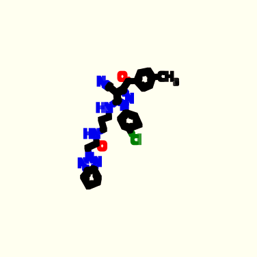 Cc1ccc(C(=O)c2nn(-c3ccc(Cl)cc3)c(NCCCNC(=O)Cn3nc4ccccc4n3)c2C#N)cc1